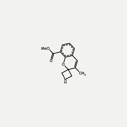 COC(=O)c1cccc2c1OC1(CNC1)C(C)=C2